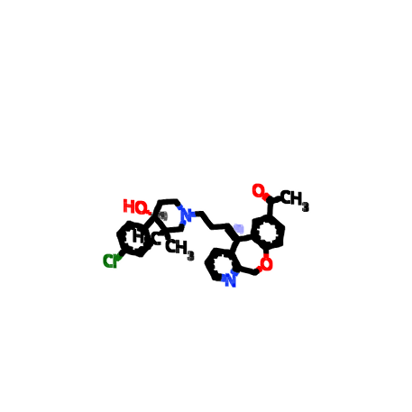 CC(=O)c1ccc2c(c1)/C(=C/CCN1CC[C@](O)(c3ccc(Cl)cc3)C(C)(C)C1)c1cccnc1CO2